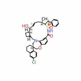 C[C@@H]1C/C=C/[C@H](O)[C@@H]2CC[C@H]2CN2C[C@@]3(CCCc4cc(Cl)ccc43)COc3ccc(cc32)C(=O)NS(=O)(=O)C1Cc1ccccc1